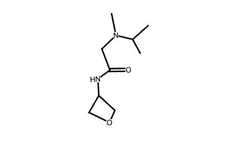 CC(C)N(C)CC(=O)NC1COC1